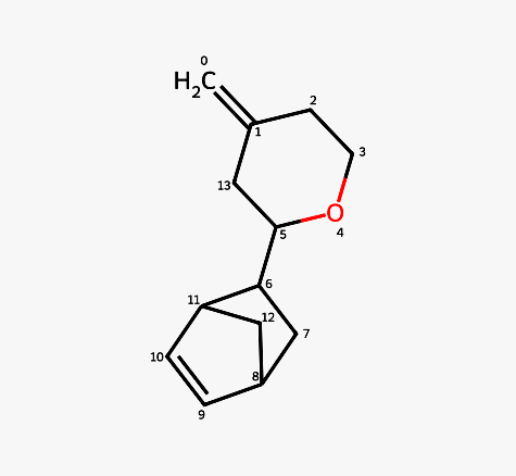 C=C1CCOC(C2CC3C=CC2C3)C1